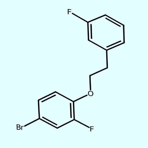 Fc1cccc(CCOc2ccc(Br)cc2F)c1